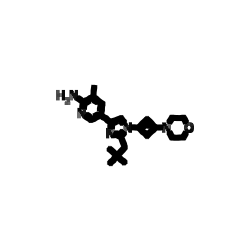 Cc1cc(-c2cn(C34CC(N5CCOCC5)(C3)C4)c(CC(C)(C)C)n2)cnc1N